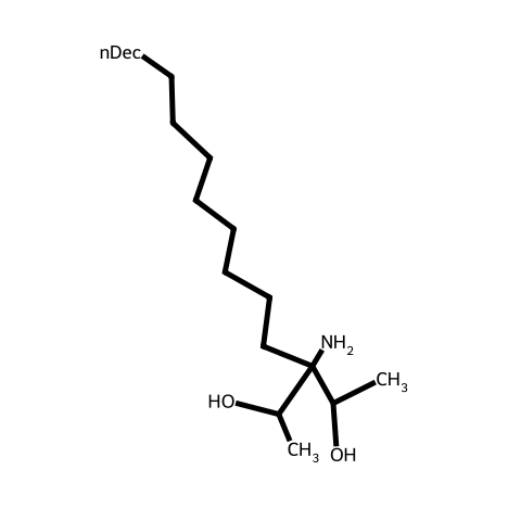 CCCCCCCCCCCCCCCCCCC(N)(C(C)O)C(C)O